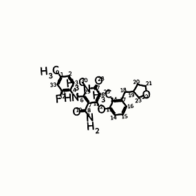 Cc1ccc(Nc2c(C(N)=O)c(Oc3cccc(CC4CCOC4)c3C)cc(=O)n2C)c(F)c1